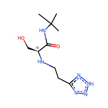 CC(C)(C)NC(=O)[C@H](CO)NCCc1nn[nH]n1